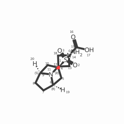 NS(=O)(=O)[C@H]1C[C@H]2CC[C@@H](C1)N2C1CN(C(=O)O)C1